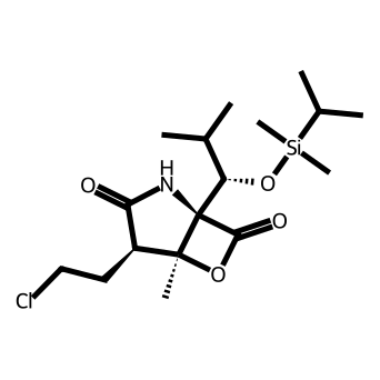 CC(C)[C@H](O[Si](C)(C)C(C)C)[C@@]12NC(=O)[C@H](CCCl)[C@]1(C)OC2=O